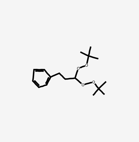 CC(C)(C)OOC(CCc1ccccc1)OOC(C)(C)C